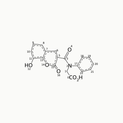 O=C(O)CN(C(=O)c1cc2cccc(O)c2oc1=O)c1ccccc1